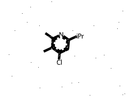 Cc1nc(C(C)C)cc(Cl)c1C